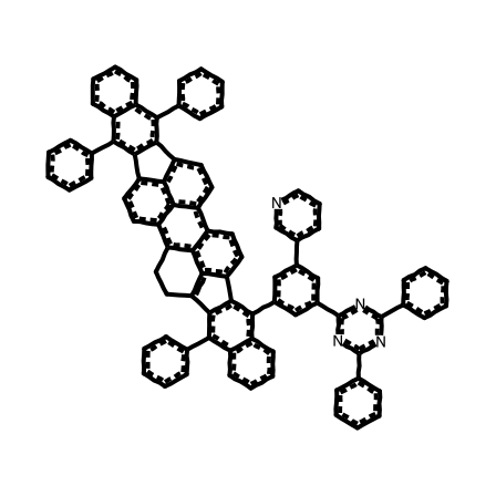 c1ccc(-c2nc(-c3ccccc3)nc(-c3cc(-c4cccnc4)cc(-c4c5c(c(-c6ccccc6)c6ccccc46)C4=c6c-5ccc5c6c(c6ccc7c8c(ccc5c68)-c5c-7c(-c6ccccc6)c6ccccc6c5-c5ccccc5)CC4)c3)n2)cc1